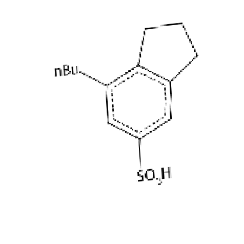 CCCCc1cc(S(=O)(=O)O)cc2c1CCC2